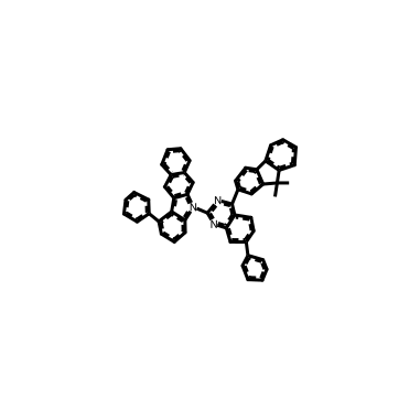 CC1(C)c2ccccc2-c2ccc(-c3nc(-n4c5cc6ccccc6cc5c5c(-c6ccccc6)cccc54)nc4cc(-c5ccccc5)ccc34)cc21